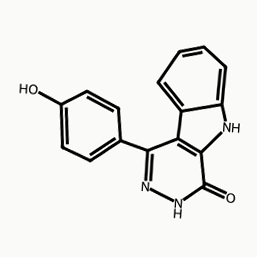 O=c1[nH]nc(-c2ccc(O)cc2)c2c1[nH]c1ccccc12